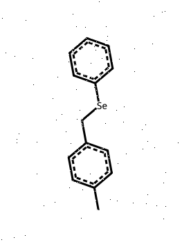 Cc1ccc(C[Se]c2ccccc2)cc1